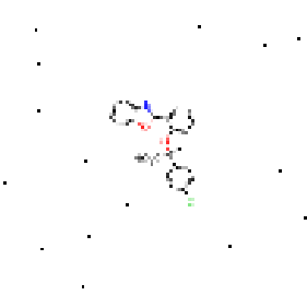 CC(Oc1ccccc1-c1nc2ccccc2o1)(C(=O)O)c1ccc(Cl)cc1